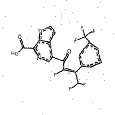 O=C(/C(F)=C(\c1cccc(C(F)(F)F)c1)C(F)F)c1cnc(C(=O)O)c2occc12